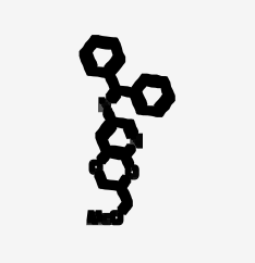 COCC1COc2cc(N=C(c3ccccc3)c3ccccc3)cnc2O1